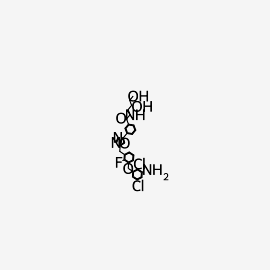 Nc1cc(Cl)cc(Oc2c(Cl)ccc(Cc3nnc(-c4cccc(C(=O)NCC(O)CO)c4)o3)c2F)c1